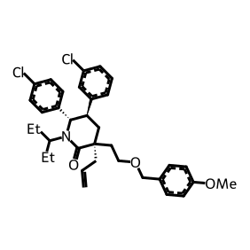 C=CC[C@@]1(CCOCc2ccc(OC)cc2)C[C@H](c2cccc(Cl)c2)[C@@H](c2ccc(Cl)cc2)N(C(CC)CC)C1=O